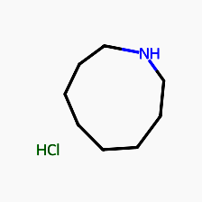 C1CCCCNCCC1.Cl